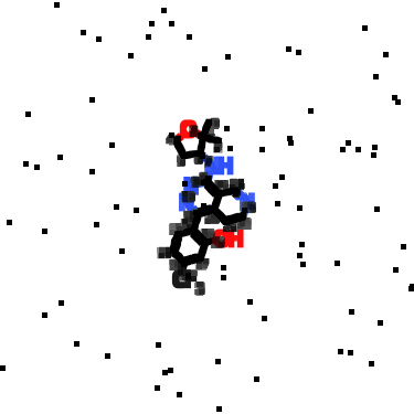 CC1(C)OCCC1Nc1nnc(-c2ccc(C(F)(F)F)cc2O)c2ccncc12